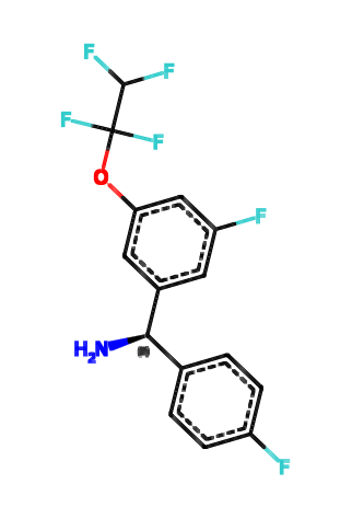 N[C@H](c1ccc(F)cc1)c1cc(F)cc(OC(F)(F)C(F)F)c1